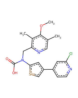 COc1c(C)cnc(CN(C(=O)O)c2cc(-c3ccnc(Cl)c3)cs2)c1C